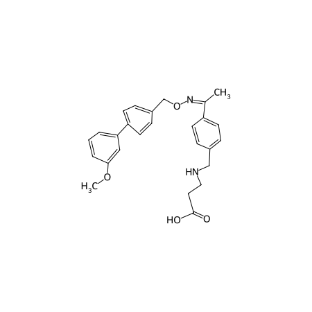 COc1cccc(-c2ccc(CO/N=C(/C)c3ccc(CNCCC(=O)O)cc3)cc2)c1